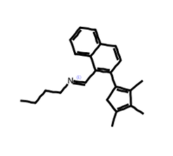 CCCC/N=C/c1c(C2=C(C)C(C)=C(C)C2)ccc2ccccc12